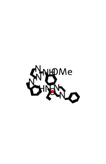 C=CC(=O)Nc1cc(Nc2nccc(-n3ccc4ccccc43)n2)c(OC)cc1N1CCN(Cc2ccccc2)CC1